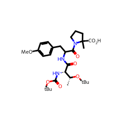 COc1ccc(CC(NC(=O)[C@@H](NC(=O)OC(C)(C)C)[C@@H](C)OC(C)(C)C)C(=O)N2CCCC2(C)C(=O)O)cc1